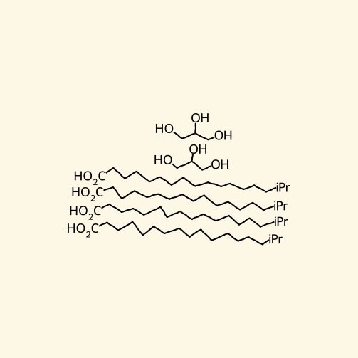 CC(C)CCCCCCCCCCCCCCC(=O)O.CC(C)CCCCCCCCCCCCCCC(=O)O.CC(C)CCCCCCCCCCCCCCC(=O)O.CC(C)CCCCCCCCCCCCCCC(=O)O.OCC(O)CO.OCC(O)CO